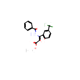 COC(=O)c1oc2ccc(C(F)(F)F)cc2c1NC(=O)c1ccccc1